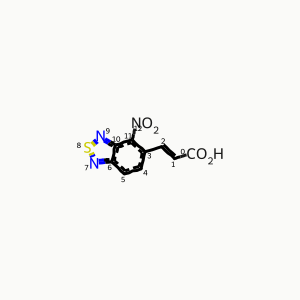 O=C(O)/C=C/c1ccc2nsnc2c1[N+](=O)[O-]